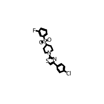 O=S(=O)(c1cccc(F)c1)C1CCN(c2nc(-c3ccc(Cl)cc3)cs2)CC1